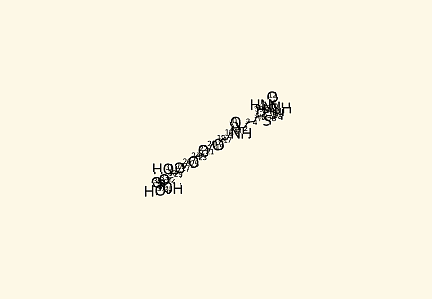 O=C(CCCC[C@@H]1SC[C@@H]2NC(=O)N[C@@H]21)NCCCOCCOCCOCCOCC(O)COP(=O)(O)O